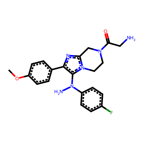 COc1ccc(-c2nc3n(c2N(N)c2ccc(F)cc2)CCN(C(=O)CN)C3)cc1